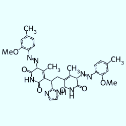 COc1cc(C)ccc1N=NC1C(=O)NC(=O)C(CC(C2=C(C)C(N=Nc3ccc(C)cc3OC)C(=O)NC2=O)c2ncc[nH]2)=C1C